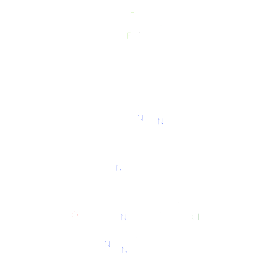 C=Cc1c(C(c2ccc(Cl)cc2)N(C)c2cc(OC)c3nnc(C)n3c2)c(CC)nn1CCCCC(F)(F)F